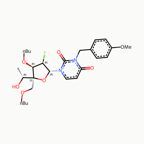 CCCCOC[C@@]1([C@@H](C)O)O[C@@H](n2ccc(=O)n(Cc3ccc(OC)cc3)c2=O)[C@H](F)[C@@H]1OCCCC